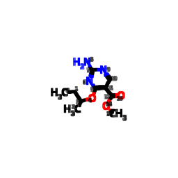 CCC(C)Oc1nc(N)ncc1C(=O)OC